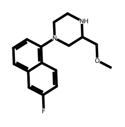 COCC1CN(c2cccc3cc(F)ccc23)CCN1